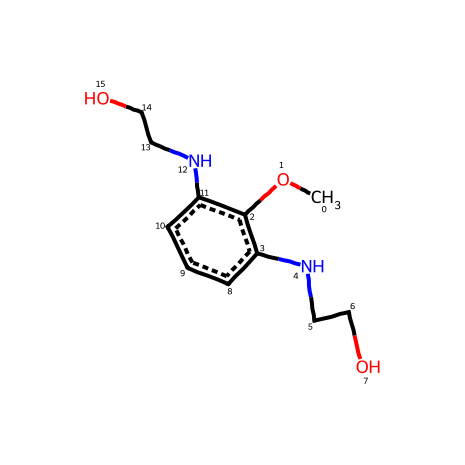 COc1c(NCCO)cccc1NCCO